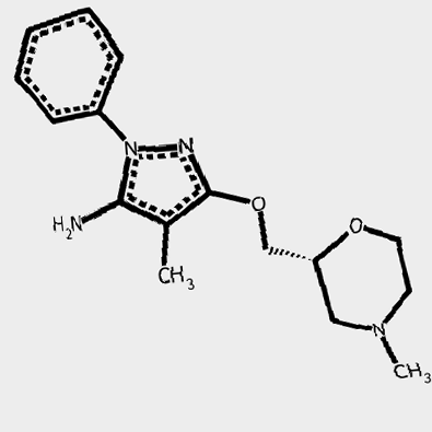 Cc1c(OC[C@H]2CN(C)CCO2)nn(-c2ccccc2)c1N